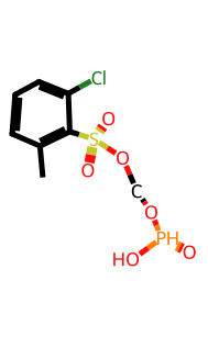 Cc1cccc(Cl)c1S(=O)(=O)OCO[PH](=O)O